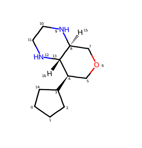 C1CCC([C@@H]2COC[C@@H]3NCCN[C@H]32)C1